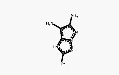 CC(C)c1nn2nc(N)c(N)c2[nH]1